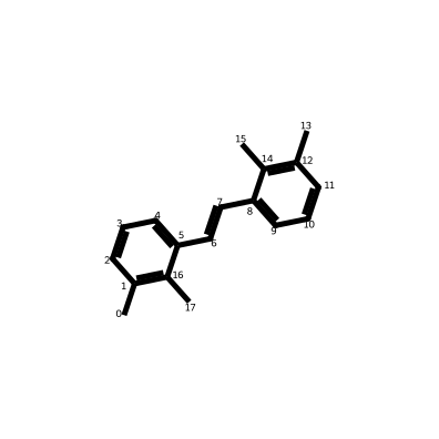 Cc1cccc(/C=C/c2cccc(C)c2C)c1C